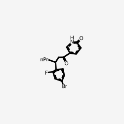 CCCC(CC(=O)c1ccc(=O)[nH]c1)c1ccc(Br)cc1F